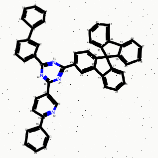 c1ccc(-c2cccc(-c3nc(-c4ccc(-c5ccccc5)nc4)nc(-c4ccc5c(c4)-c4ccccc4C54c5ccccc5-c5ccccc54)n3)c2)cc1